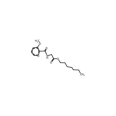 CCCCCCCOC(=O)CNC(=O)c1ncccc1OC